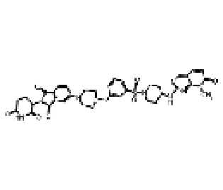 Cn1c(=O)ccc2cnc(NC3CCN(S(=O)(=O)c4cccc(CN5CCN(c6ccc7c(c6)C(=O)N(C6CCC(=O)NC6=O)C7=O)CC5)c4)CC3)nc21